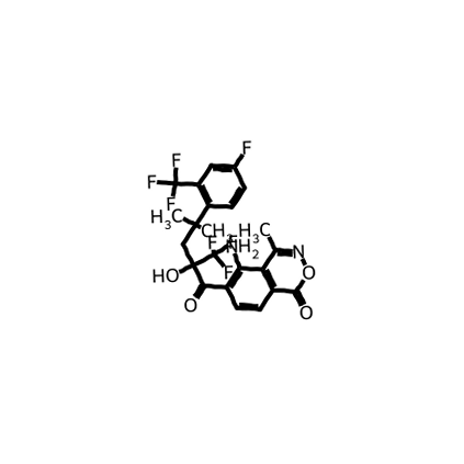 Cc1noc(=O)c2ccc(C(=O)C(O)(CC(C)(C)c3ccc(F)cc3C(F)(F)F)C(F)(F)F)c(N)c12